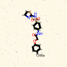 COc1ccc(OCC(=O)Nc2ccc(S(=O)(=O)Nc3nccs3)cc2)cc1